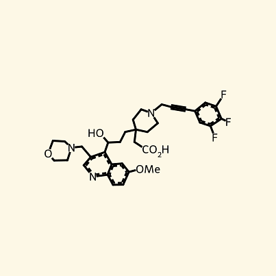 COc1ccc2ncc(CN3CCOCC3)c(C(O)CCC3(CC(=O)O)CCN(CC#Cc4cc(F)c(F)c(F)c4)CC3)c2c1